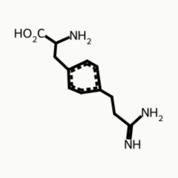 N=C(N)CCc1ccc(CC(N)C(=O)O)cc1